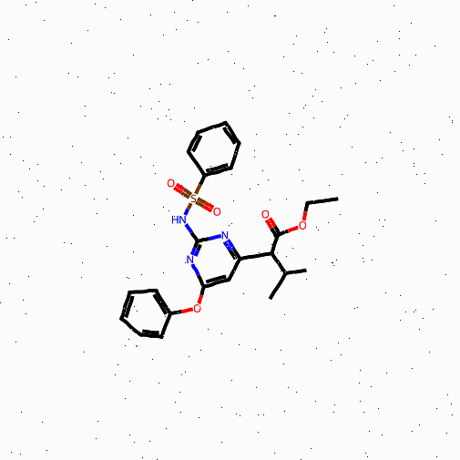 CCOC(=O)C(c1cc(Oc2ccccc2)nc(NS(=O)(=O)c2ccccc2)n1)C(C)C